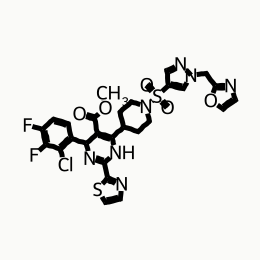 COC(=O)C1=C(C2CCN(S(=O)(=O)c3cnn(Cc4ncco4)c3)CC2)NC(c2nccs2)=NC1c1ccc(F)c(F)c1Cl